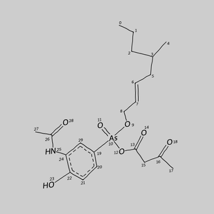 CCCC(C)CC=CCO[As](=O)(OC(=O)CC(C)=O)c1ccc(O)c(NC(C)=O)c1